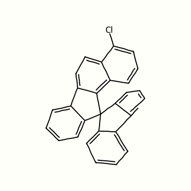 Clc1cccc2c3c(ccc12)-c1ccccc1C31c2ccccc2-c2ccccc21